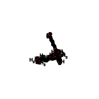 CC[C@@H]1C(=O)N(C)c2cnc(Nc3ccc(-c4cn([C@H]5CC[C@@H](N(CCOCCC#Cc6cccc7c6CN(C6CCC(=O)NC6=O)C7=O)C(=O)OCc6ccc(NC(=O)[C@H](CCCNC(N)=O)NC(=O)[C@@H](NC(=O)CCOCCOCCOCCOCCOCCOCCN7C(=O)C=CC7=O)C(C)C)cc6)CC5)nn4)cc3OC)nc2N1C1CCCC1